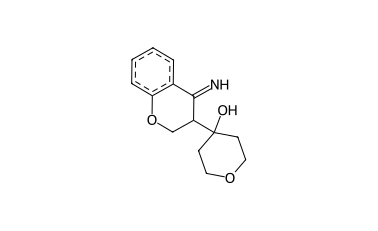 N=C1c2ccccc2OCC1C1(O)CCOCC1